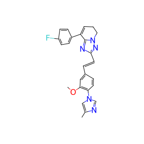 COc1cc(C=Cc2nc3n(n2)CCC=C3c2ccc(F)cc2)ccc1-n1cnc(C)c1